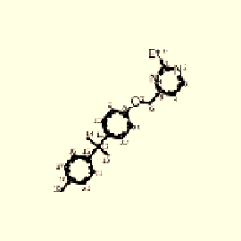 CCc1nccc(COc2ccc(C(C)(C)c3ccc(C)cc3)cc2)n1